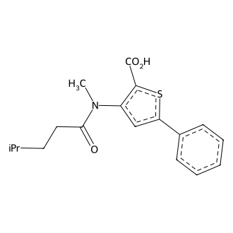 CC(C)CCC(=O)N(C)c1cc(-c2ccccc2)sc1C(=O)O